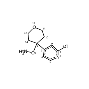 NOC1(c2ccnc(Cl)c2)CCOCC1